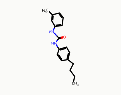 CCCCc1ccc(NC(=O)Nc2cccc(C)c2)cc1